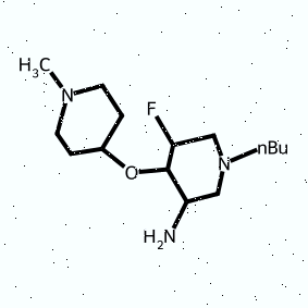 CCCCN1CC(N)C(OC2CCN(C)CC2)C(F)C1